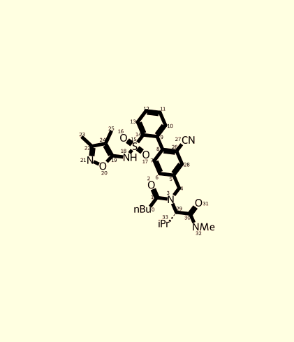 CCCCC(=O)N(Cc1ccc(-c2ccccc2S(=O)(=O)Nc2onc(C)c2C)c(C#N)c1)[C@H](C(=O)NC)C(C)C